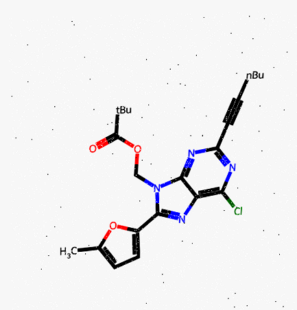 CCCCC#Cc1nc(Cl)c2nc(-c3ccc(C)o3)n(COC(=O)C(C)(C)C)c2n1